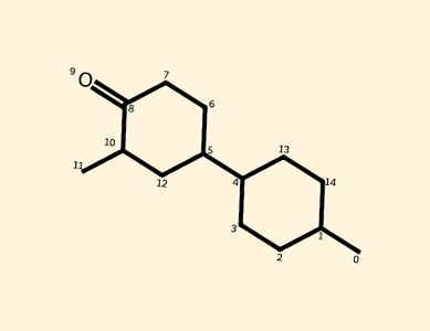 CC1CCC(C2CCC(=O)C(C)C2)CC1